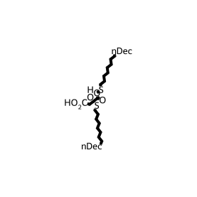 CCCCCCCCCCCCCCCCCCSOC(=O)C(O)(CC(=O)O)SCCCCCCCCCCCCCCCCCC